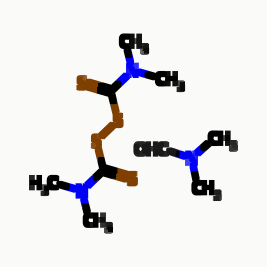 CN(C)C(=S)SSC(=S)N(C)C.CN(C)C=O